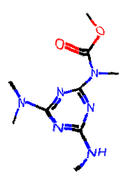 CNc1nc(N(C)C)nc(N(C)C(=O)OC)n1